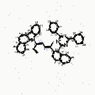 C=C/C(=C\C=C(/C)c1ccc2ccccc2c1-c1nc(-c2ccccc2)nc(-c2ccccc2)n1)n1c2ccccc2c2ccc3ccccc3c21